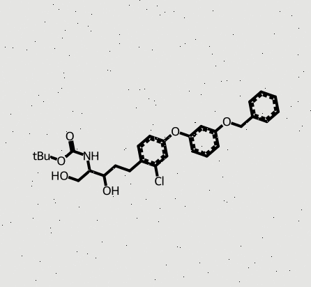 CC(C)(C)OC(=O)NC(CO)C(O)CCc1ccc(Oc2cccc(OCc3ccccc3)c2)cc1Cl